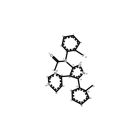 CC(=O)N(c1ccccc1F)c1onc(-c2ccccc2C)c1-c1ccncn1